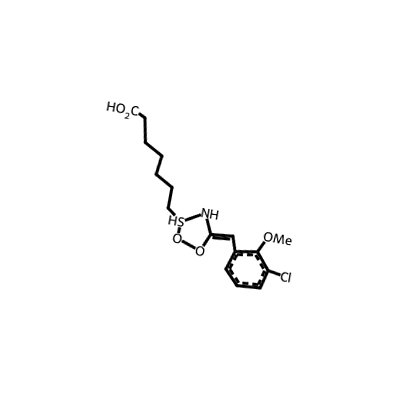 COc1c(Cl)cccc1/C=C1/N[SH](CCCCCCC(=O)O)OO1